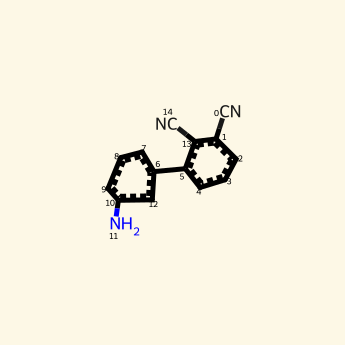 N#Cc1cccc(-c2cccc(N)c2)c1C#N